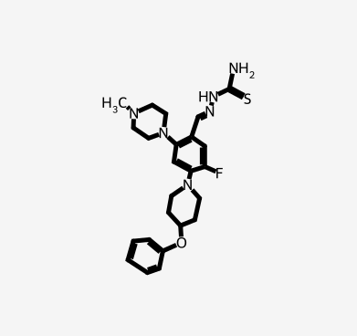 CN1CCN(c2cc(N3CCC(Oc4ccccc4)CC3)c(F)cc2/C=N/NC(N)=S)CC1